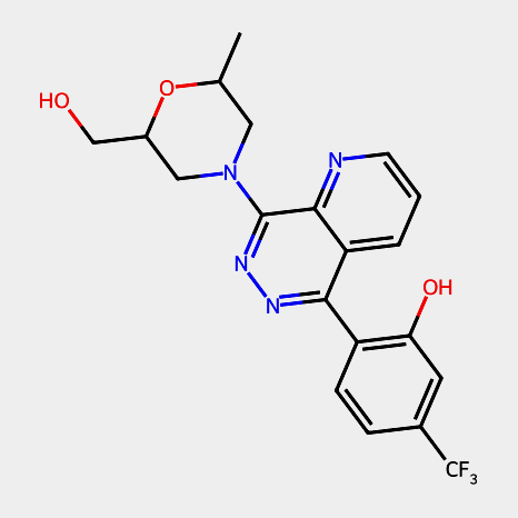 CC1CN(c2nnc(-c3ccc(C(F)(F)F)cc3O)c3cccnc23)CC(CO)O1